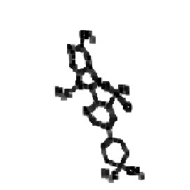 CCS(=O)(=O)c1cc(C2=CCC(C)(C)CC2)cnc1-c1nc2cc(C(F)(F)F)ncc2n1C